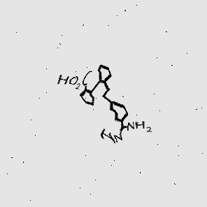 N=C(N)c1ccc(CCc2ccccc2-c2ccccc2C(=O)O)cc1